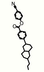 CCCC1CCC2CC(c3ccc(C(=O)Oc4ccc(C#N)cc4)cc3)CCC2C1